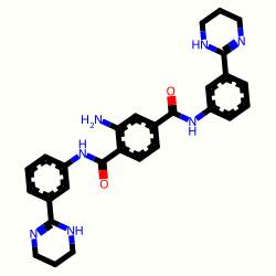 Nc1cc(C(=O)Nc2cccc(C3=NCCCN3)c2)ccc1C(=O)Nc1cccc(C2=NCCCN2)c1